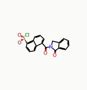 O=C1c2ccccc2CN1C(=O)c1cccc2c(S(=O)(=O)Cl)cccc12